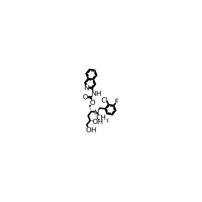 CN(Cc1cccc(F)c1Cl)[C@@H](COC(=O)Nc1cc2ccccc2cn1)C[C@H](O)CO